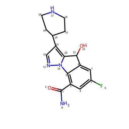 NC(=O)c1cc(F)cc2c1-n1ncc(C3CCNCC3)c1C2O